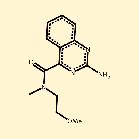 COCCN(C)C(=O)c1nc(N)nc2ccccc12